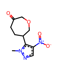 Cn1ncc([N+](=O)[O-])c1C1CCC(=O)COC1